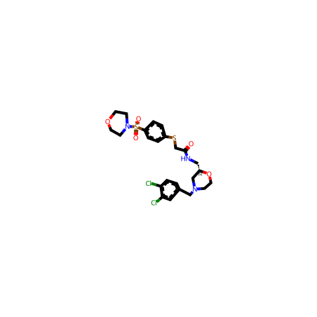 O=C(CSc1ccc(S(=O)(=O)N2CCOCC2)cc1)NC[C@H]1CN(Cc2ccc(Cl)c(Cl)c2)CCO1